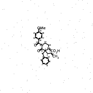 C=CCC1(Cc2ccccc2)C(=O)N(C(=O)c2ccc(OC)cc2)CCN1C(=O)O